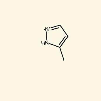 CC1=CC=[N+]N1